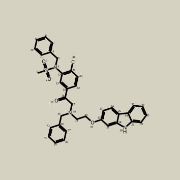 CS(=O)(=O)N(Cc1ccccc1)c1cc(C(=O)CN(CCOc2ccc3c(c2)[nH]c2ccccc23)Cc2ccccc2)ccc1Cl